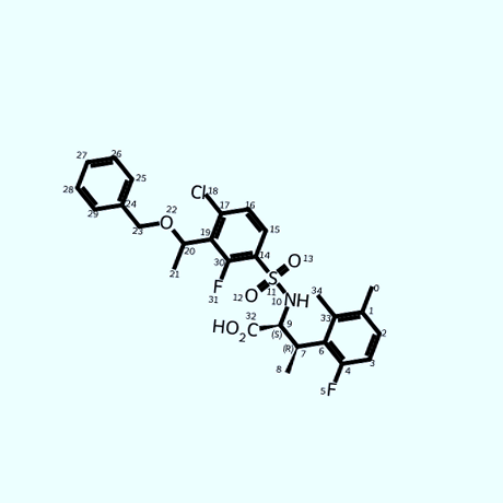 Cc1ccc(F)c([C@@H](C)[C@H](NS(=O)(=O)c2ccc(Cl)c(C(C)OCc3ccccc3)c2F)C(=O)O)c1C